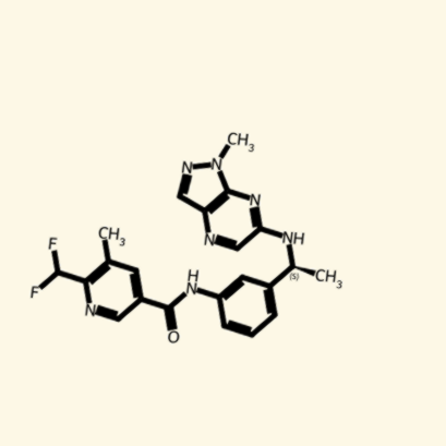 Cc1cc(C(=O)Nc2cccc([C@H](C)Nc3cnc4cnn(C)c4n3)c2)cnc1C(F)F